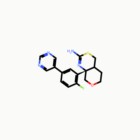 NC1=N[C@@]2(c3cc(-c4cncnc4)ccc3F)COCCC2CS1